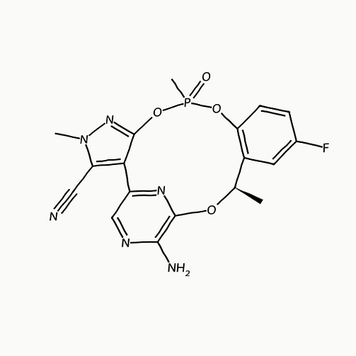 C[C@H]1Oc2nc(cnc2N)-c2c(nn(C)c2C#N)OP(C)(=O)Oc2ccc(F)cc21